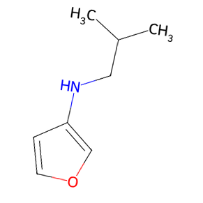 CC(C)CNc1ccoc1